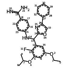 CCOc1cc(OC(C)C)c(F)c(C(Nc2ccc(C(=N)N)cc2)c2nc(-c3ccccc3)co2)c1